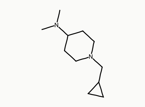 CN(C)C1CCN(CC2CC2)CC1